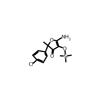 CC1(c2ccc(Cl)cc2)OC(N)=C(O[Si](C)(C)C)C1=O